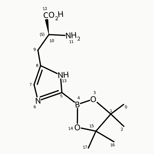 CC1(C)OB(c2ncc(C[C@H](N)C(=O)O)[nH]2)OC1(C)C